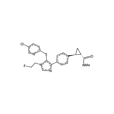 CNC(=O)[C@H]1C[C@@H]1c1ccc(-c2ncn(CCF)c2Sc2ccc(Cl)cn2)cc1